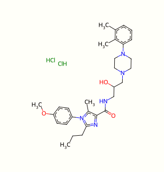 CCCc1nc(C(=O)NCC(O)CN2CCN(c3cccc(C)c3C)CC2)c(C)n1-c1ccc(OC)cc1.Cl.Cl